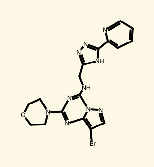 Brc1cnn2c(NCc3nnc(-c4ccccn4)[nH]3)nc(N3CCOCC3)nc12